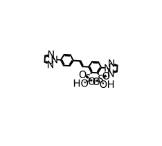 O=S(=O)(O)c1c(C=Cc2ccc(-n3nccn3)cc2)ccc(-n2nccn2)c1S(=O)(=O)O